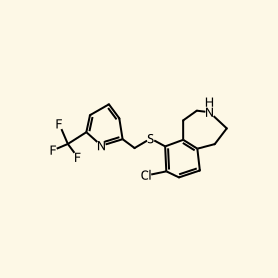 FC(F)(F)c1cccc(CSc2c(Cl)ccc3c2CCNCC3)n1